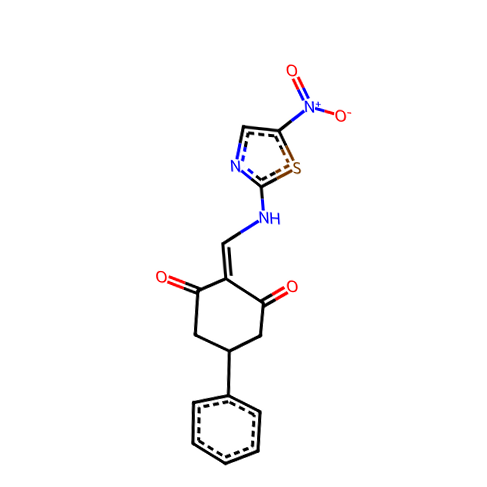 O=C1CC(c2ccccc2)CC(=O)C1=CNc1ncc([N+](=O)[O-])s1